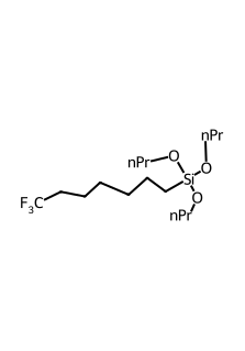 CCCO[Si](CCCCCCC(F)(F)F)(OCCC)OCCC